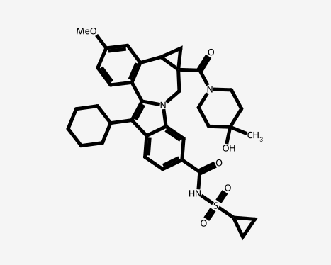 COc1ccc2c(c1)C1CC1(C(=O)N1CCC(C)(O)CC1)Cn1c-2c(C2CCCCC2)c2ccc(C(=O)NS(=O)(=O)C3CC3)cc21